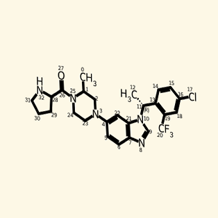 CC1CN(c2ccc3ncn([C@H](C)c4ccc(Cl)cc4C(F)(F)F)c3c2)CCN1C(=O)C1CCCN1